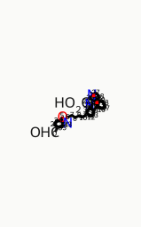 O=Cc1ccc2oc(CCC=Cc3ccc(-c4ccccc4)c(N(C(=O)O)[C@H]4CN5CCC4CC5)c3)nc2c1